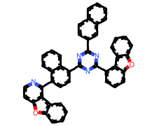 c1ccc2cc(-c3nc(-c4ccc(-c5nccc6oc7ccccc7c56)c5ccccc45)nc(-c4cccc5oc6ccccc6c45)n3)ccc2c1